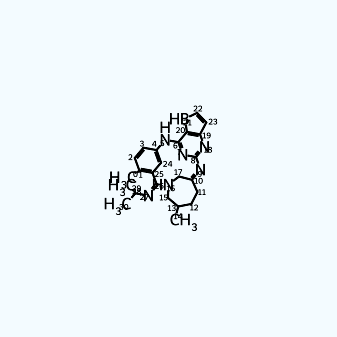 Cc1ccc(Nc2nc(/N=C3/CCC(C)CNC3)nc3c2BC=C3)cc1/C=N\C(C)C